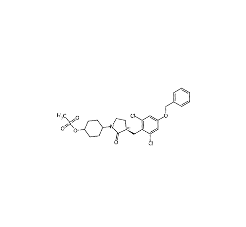 CS(=O)(=O)OC1CCC(N2CC[C@@H](Cc3c(Cl)cc(OCc4ccccc4)cc3Cl)C2=O)CC1